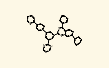 c1ccc(-c2ccc3c(-c4ccccc4)nc(-c4cc(-c5ccc(-c6ccccn6)cc5)cc(-c5ncccn5)c4)nc3c2)cc1